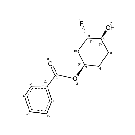 O=C(O[C@@H]1CC[C@H](O)[C@@H](F)C1)c1ccccc1